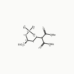 CCOC(=O)[C@H](CCC(C(=O)OC)C(=O)OC)O[Si](CC)(CC)CC